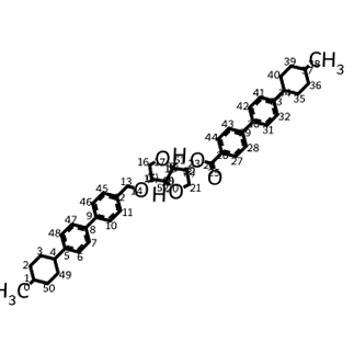 CC1CCC(c2ccc(-c3ccc(CO[C@H]4CO[C@H]5[C@@H]4OC[C@H]5OC(=O)c4ccc(-c5ccc(C6CCC(C)CC6)cc5)cc4)cc3)cc2)CC1